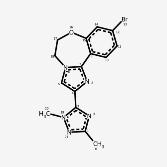 Cc1nc(-c2cn3c(n2)-c2ccc(Br)cc2OCC3)n(C)n1